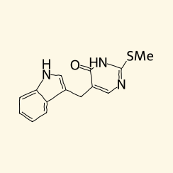 CSc1ncc(Cc2c[nH]c3ccccc23)c(=O)[nH]1